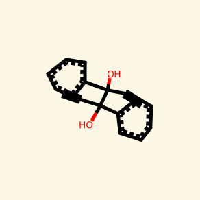 C#CC(O)(c1ccccc1)C(O)(C#C)c1ccccc1